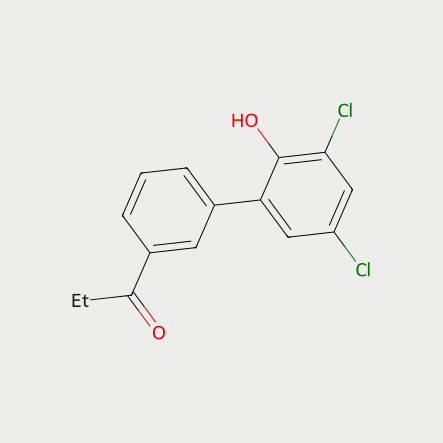 CCC(=O)c1cccc(-c2cc(Cl)cc(Cl)c2O)c1